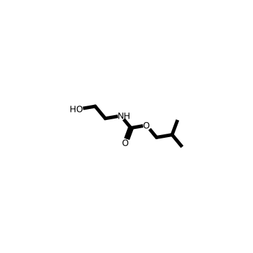 CC(C)COC(=O)NCCO